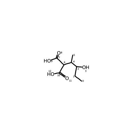 CCC(O)C(C)C(C(=O)O)C(=O)O